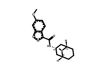 COc1ccc2c(C(=O)N[C@H]3C[C@H]4CCC[C@@H](C3)N4C)nsc2c1